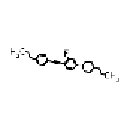 CCCc1ccc(C#Cc2ccc([C@H]3CC[C@H](CCC)CC3)cc2F)cc1